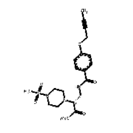 CC#CCOc1ccc(C(=O)NC[C@H](C(=O)OC)N2CCN(S(C)(=O)=O)CC2)cc1